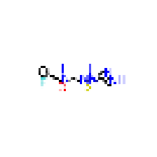 O=C(C#Cc1ccccc1F)NCCCNC(=S)NCc1ccnc2[nH]ccc12